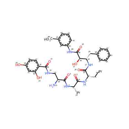 CC(C)C[C@H](NC(=O)[C@@H](NC(=O)[C@@H](N)CNC(=O)c1ccc(O)cc1O)C(C)C)C(=O)N[C@@H](Cc1ccccc1)[C@@H](O)C(=O)Nc1cccc(C(=O)O)c1